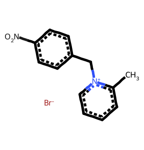 Cc1cccc[n+]1Cc1ccc([N+](=O)[O-])cc1.[Br-]